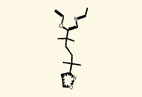 C=CO/C(=C\N=C\C)C(C)(C)CCC(C)(C)c1ccon1